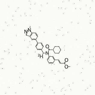 [2H]C(c1ccc(-c2ccc3c(cnn3C)c2)cc1)N(C(=O)C1CCCCC1)c1cccc(/C=C/C(=O)OC)c1